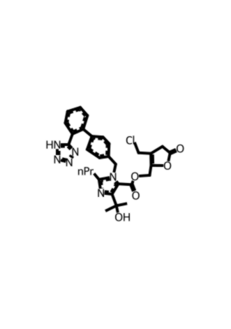 CCCc1nc(C(C)(C)O)c(C(=O)OCC2=C(CCl)CC(=O)O2)n1Cc1ccc(-c2ccccc2-c2nnn[nH]2)cc1